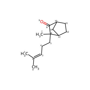 CC(C)=CCCC1(C)C(=O)C2CCC1C2